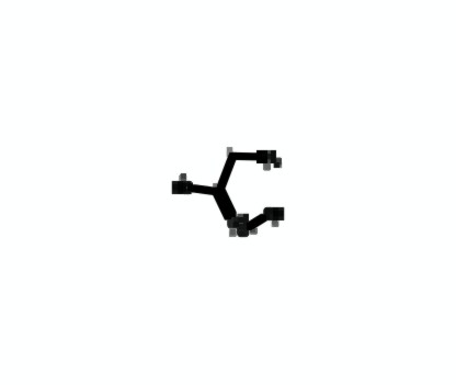 NCC(=O)O.OO